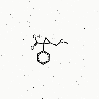 COC[C@@H]1C[C@]1(C(=O)O)c1ccccc1